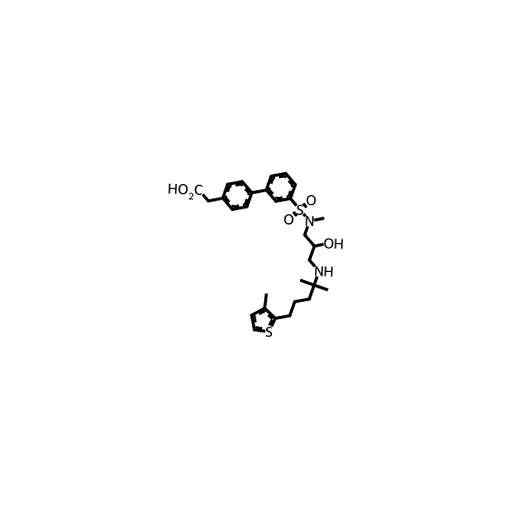 Cc1ccsc1CCCC(C)(C)NCC(O)CN(C)S(=O)(=O)c1cccc(-c2ccc(CC(=O)O)cc2)c1